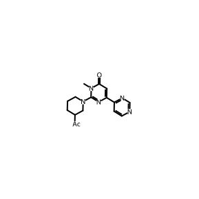 CC(=O)C1CCCN(c2nc(-c3ccncn3)cc(=O)n2C)C1